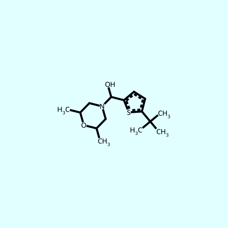 CC1CN(C(O)c2ccc(C(C)(C)C)s2)CC(C)O1